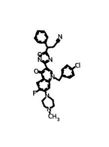 CN1CCN(c2cc3c(cc2F)c(=O)c(-c2noc(C(CC#N)c4ccccc4)n2)cn3Cc2ccc(Cl)cc2)CC1